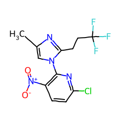 Cc1cn(-c2nc(Cl)ccc2[N+](=O)[O-])c(CCC(F)(F)F)n1